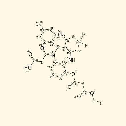 CCOC(=O)CC(=O)Oc1cccc2c1NC1=C(C(=O)CC(C)(C)C1)C(c1ccc(Cl)cc1Cl)N2C(=O)CC(=O)O